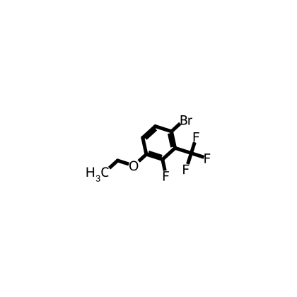 CCOc1ccc(Br)c(C(F)(F)F)c1F